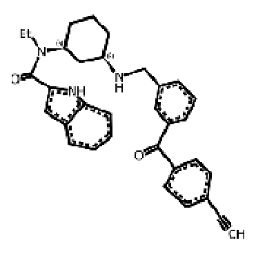 C#Cc1ccc(C(=O)c2cccc(CN[C@@H]3CCC[C@H](N(CC)C(=O)c4cc5ccccc5[nH]4)C3)c2)cc1